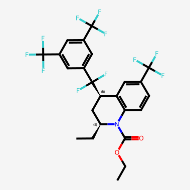 CCOC(=O)N1c2ccc(C(F)(F)F)cc2[C@H](C(F)(F)c2cc(C(F)(F)F)cc(C(F)(F)F)c2)C[C@@H]1CC